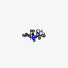 C/C=C\C=C/c1c(C)c(-c2ccc(-n3c(-c4ccccc4)nc(-c4ccc(C5C=CC=C(/C=C\CCC)C5)cc4)c3-c3ccc(-c4cccc5ccccc45)cc3)cc2)c2ccccc2c1-c1ccc2c(c1)C=CCC2